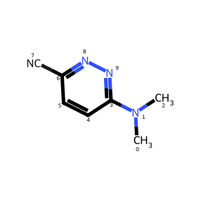 CN(C)c1ccc(C#N)nn1